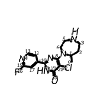 CC1CCNCCN1c1nc(-c2ccnc(F)c2)[nH]c(=O)c1Cl